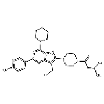 CC(C)Cn1c(N2CCN(C(=O)C[C@H](C)O)CC2)nc2c(N3CCOCC3)nc(-c3cnc(N)nc3)nc21